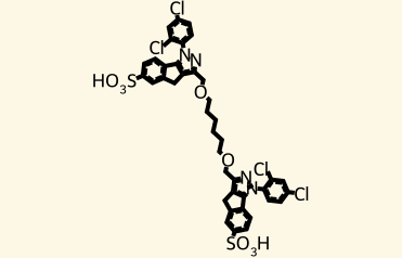 O=S(=O)(O)c1ccc2c(c1)Cc1c(COCCCCCCOCc3nn(-c4ccc(Cl)cc4Cl)c4c3Cc3cc(S(=O)(=O)O)ccc3-4)nn(-c3ccc(Cl)cc3Cl)c1-2